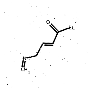 C=NC/C=C/C(=O)CC